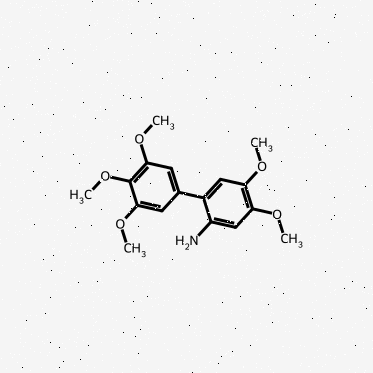 COc1cc(N)c(-c2cc(OC)c(OC)c(OC)c2)cc1OC